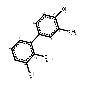 Cc1cc(-c2cccc(C)c2C)ccc1O